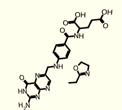 CCC1=NCCO1.Nc1nc2ncc(CNc3ccc(C(=O)NC(CCC(=O)O)C(=O)O)cc3)nc2c(=O)[nH]1